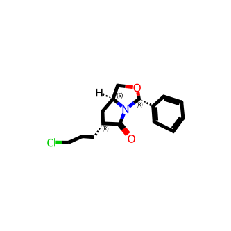 O=C1[C@H](CCCCl)C[C@H]2CO[C@H](c3ccccc3)N12